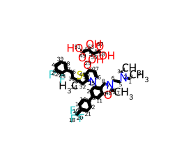 CCN(CC)CCN(Cc1ccc(-c2ccc(C(F)(F)F)cc2)cc1-n1ccc(=O)c2c1CC(C)(CCc1cccc(F)c1F)S2)C(C)=O.O=C(O)C(O)C(O)C(=O)O